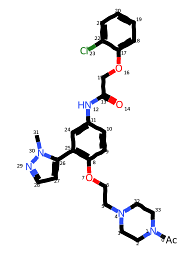 CC(=O)N1CCN(CCOc2ccc(NC(=O)COc3ccccc3Cl)cc2-c2ccnn2C)CC1